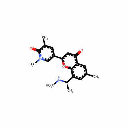 Cc1cc([C@@H](C)NC(=O)O)c2oc(-c3cc(C)c(=O)n(C)c3)cc(=O)c2c1